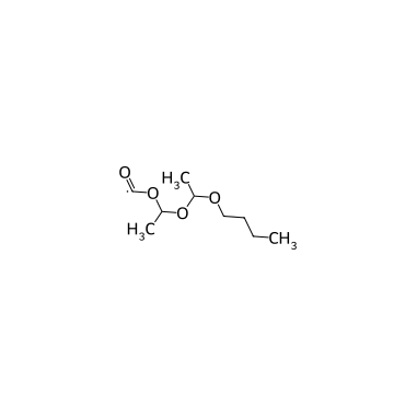 CCCCOC(C)OC(C)O[C]=O